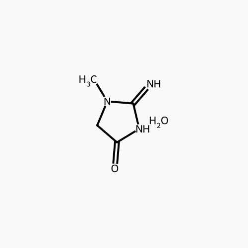 CN1CC(=O)NC1=N.O